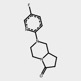 O=C1CCC2CN(c3ccc(F)cn3)CCN12